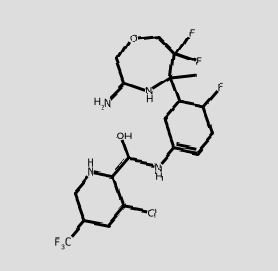 CC1(C2CC(NC(O)C3NCC(C(F)(F)F)CC3Cl)=CCC2F)NC(N)COCC1(F)F